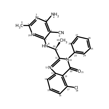 Cc1nc(N)c(C#N)c(N[C@@H](C)c2nc3cccc(Cl)c3c(=O)n2-c2ccccc2)n1